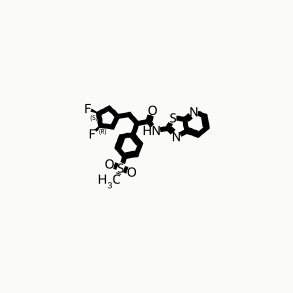 CS(=O)(=O)c1ccc(C(CC2C[C@@H](F)[C@@H](F)C2)C(=O)Nc2nc3cccnc3s2)cc1